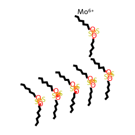 CCCCCCCOP(=S)([S-])OCCCCCCC.CCCCCCCOP(=S)([S-])OCCCCCCC.CCCCCCCOP(=S)([S-])OCCCCCCC.CCCCCCCOP(=S)([S-])OCCCCCCC.CCCCCCCOP(=S)([S-])OCCCCCCC.CCCCCCCOP(=S)([S-])OCCCCCCC.[Mo+6]